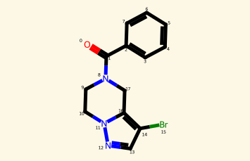 O=C(c1ccccc1)N1CCn2ncc(Br)c2C1